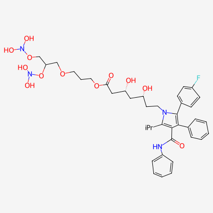 CC(C)c1c(C(=O)Nc2ccccc2)c(-c2ccccc2)c(-c2ccc(F)cc2)n1CC[C@@H](O)C[C@@H](O)CC(=O)OCCCOCC(CON(O)O)ON(O)O